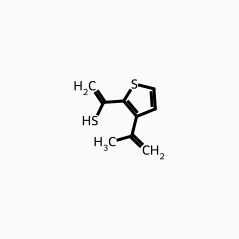 C=C(C)c1ccsc1C(=C)S